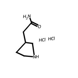 Cl.Cl.NC(=O)CC1CCNC1